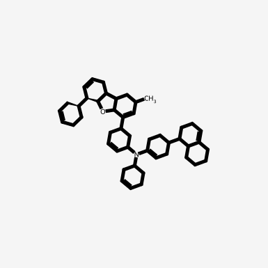 CC1C=C(C2CC=CC(N(C3=CCC(C4CCC=C5CCCCC54)CC3)C3CC=CCC3)C2)C2OC3C(CC=C[C@@H]3[C@@H]3CC=CCC3)C2C1